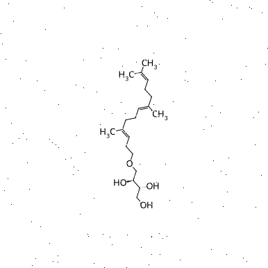 CC(C)=CCCC(C)=CCCC(C)=CCCOC[C@H](O)[C@H](O)CO